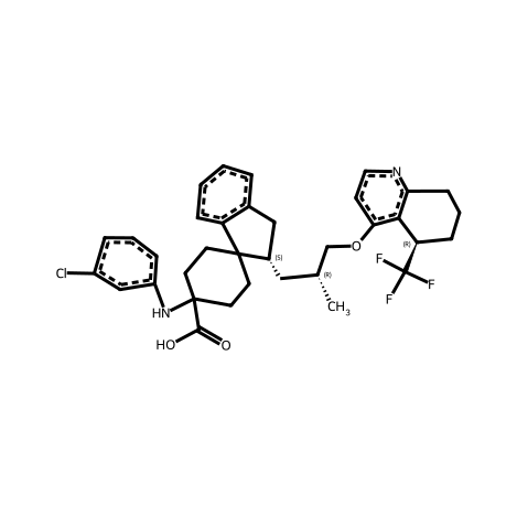 C[C@@H](COc1ccnc2c1[C@H](C(F)(F)F)CCC2)C[C@H]1Cc2ccccc2C12CCC(Nc1cccc(Cl)c1)(C(=O)O)CC2